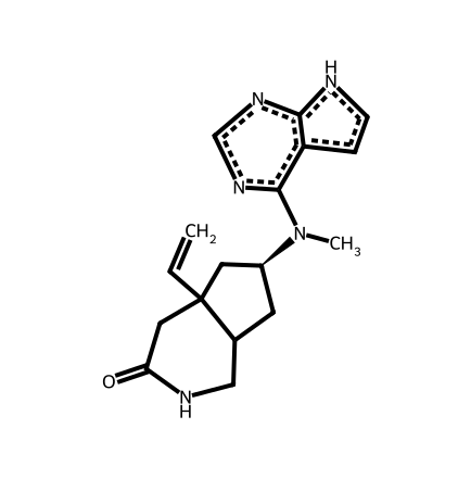 C=CC12CC(=O)NCC1C[C@H](N(C)c1ncnc3[nH]ccc13)C2